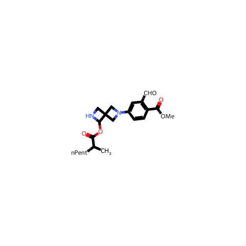 CCCCCC(C)C(=O)OC1NCC12CN(c1ccc(C(=O)OC)c(C=O)c1)C2